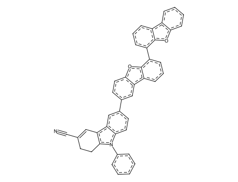 N#CC1=Cc2c(n(-c3ccccc3)c3ccc(-c4ccc5oc6c(-c7cccc8c7oc7ccccc78)cccc6c5c4)cc23)CC1